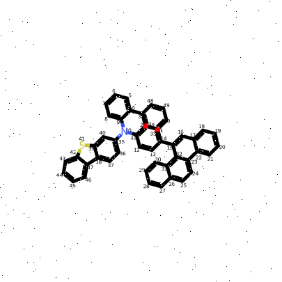 c1ccc(-c2ccccc2N(c2ccc(-c3cc4ccccc4c4ccc5ccccc5c34)cc2)c2ccc3c(c2)sc2ccccc23)cc1